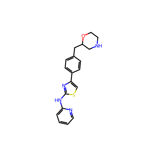 c1ccc(Nc2nc(-c3ccc(CC4CNCCO4)cc3)cs2)nc1